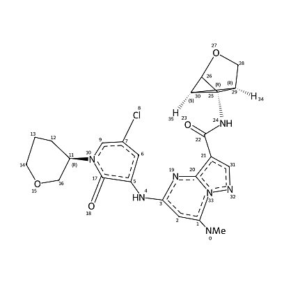 CNc1cc(Nc2cc(Cl)cn([C@@H]3CCCOC3)c2=O)nc2c(C(=O)N[C@]34C5OC[C@@H]3[C@H]54)cnn12